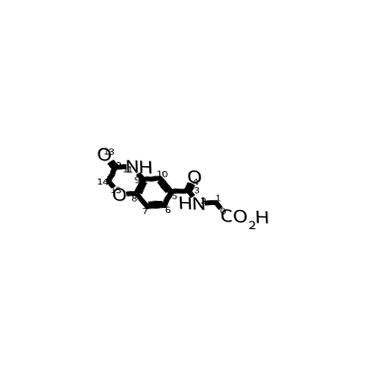 O=C(O)CNC(=O)c1ccc2c(c1)NC(=O)CO2